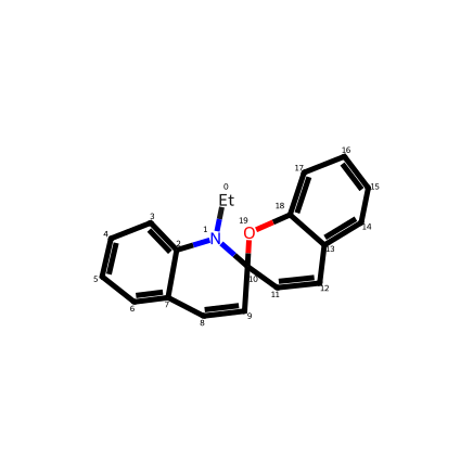 CCN1c2ccccc2C=CC12C=Cc1ccccc1O2